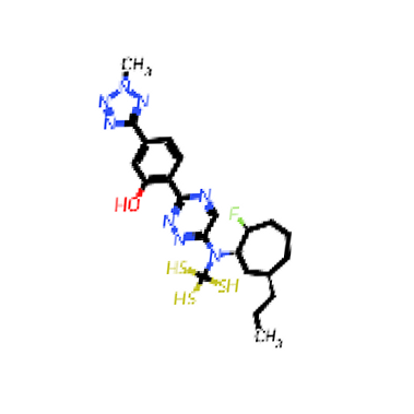 CCC[C@@H]1CCC[C@H](F)[C@H](N(c2cnc(-c3ccc(-c4nnn(C)n4)cc3O)nn2)C(S)(S)S)C1